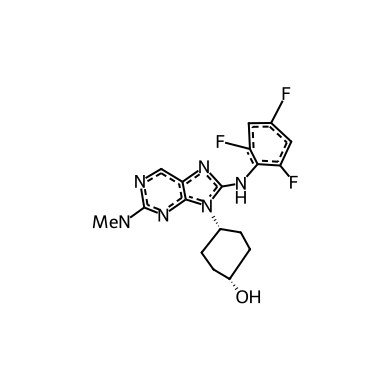 CNc1ncc2nc(Nc3c(F)cc(F)cc3F)n([C@H]3CC[C@@H](O)CC3)c2n1